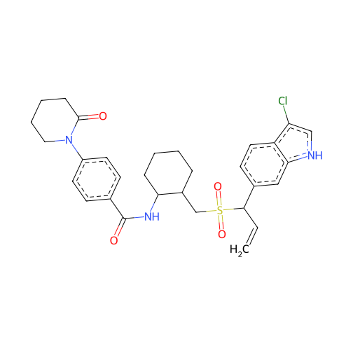 C=CC(c1ccc2c(Cl)c[nH]c2c1)S(=O)(=O)CC1CCCCC1NC(=O)c1ccc(N2CCCCC2=O)cc1